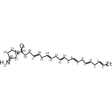 CCC=CCC=CCC=CCC=CCC=CCC=CCCC(=O)N1CC[C@H](N)C1